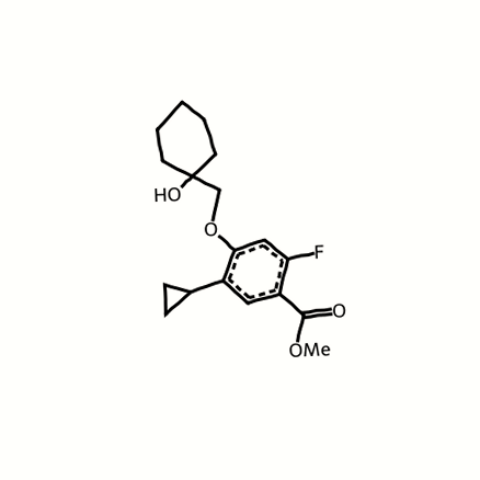 COC(=O)c1cc(C2CC2)c(OCC2(O)CCCCC2)cc1F